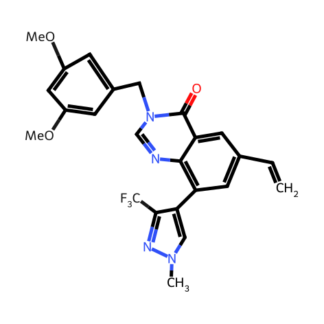 C=Cc1cc(-c2cn(C)nc2C(F)(F)F)c2ncn(Cc3cc(OC)cc(OC)c3)c(=O)c2c1